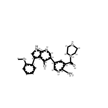 COc1ccccc1-c1c[nH]c2ncc(-c3cnc(N)c(C(=O)N4CCOCC4)c3)c(Cl)c12